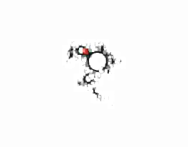 CC[C@H]1OC(=O)[C@H](C)[C@@H](O[C@H]2C[C@@](C)(OC)[C@@H](OCCCN)[C@H](C)O2)[C@H](C)[C@@H](O[C@@H]2O[C@H](C)C[C@H](N(C)C)[C@H]2OC(C)=O)[C@](C)(OC)C[C@@H](C)/C(=N\O)[C@H](C)[C@H]2OC(=O)O[C@@]21C